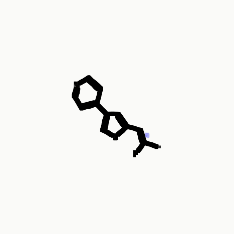 [CH2]/C(F)=C/c1cc(-c2ccncc2)cs1